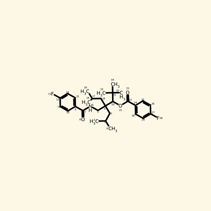 CC(C)CC(CNC(=O)c1ccc(F)cc1)(CC(C)C)C(OC(=O)c1ccc(F)cc1)C(C)(C)C